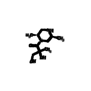 C[C@@H]1CN[C@@H](C)CN1C(=O)C(C)(O)CO